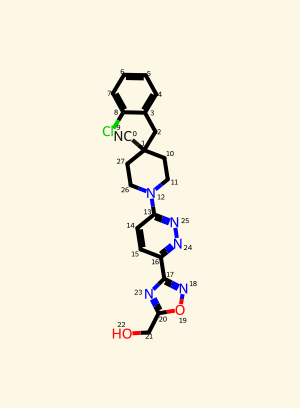 N#CC1(Cc2ccccc2Cl)CCN(c2ccc(-c3noc(CO)n3)nn2)CC1